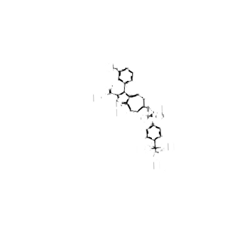 CC(=O)c1[nH]c2c(c1-c1cccc(Cl)c1)=CCC(NS(=O)(=O)c1ccc(C(C)(C)C)cc1)=CC=2